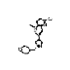 CN1CC(c2cnn(CC3CCOCC3)c2)=Cc2nc(Cl)ccc21